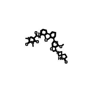 COc1nc(-c2cccc(-c3cccc(NC(=O)c4cn(C)c(=O)n(C)c4=O)c3C)c2Cl)cc2c1[C@@H](N1CC3(CCC(=O)N3)C1)CO2